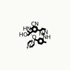 Cc1ccc(C(=O)N2CCN(C)CC2)cc1Nc1nccc(-c2cc(C#N)c3c(c2)[C@@](C)(CO)CN3)n1